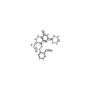 COc1ccccc1[C@H](O)CN1c2nc(N3CCOCC3)cc(=O)n2CC[C@H]1C(F)(F)F